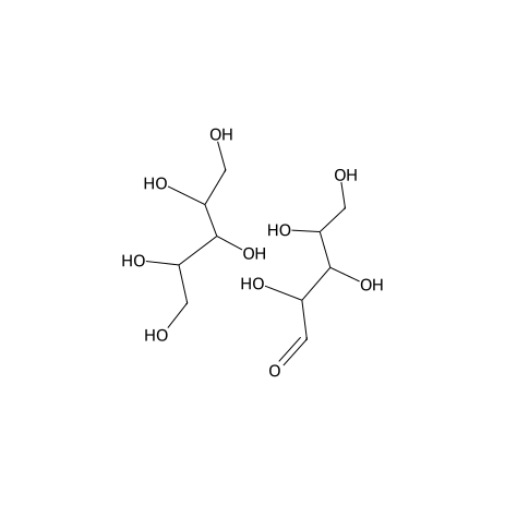 O=CC(O)C(O)C(O)CO.OCC(O)C(O)C(O)CO